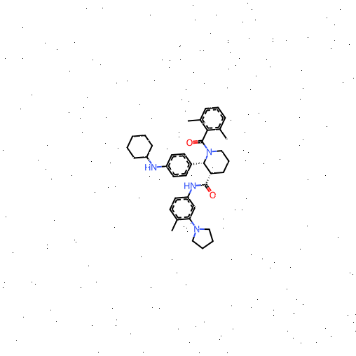 Cc1ccc(NC(=O)[C@H]2CCCN(C(=O)c3c(C)cccc3C)[C@H]2c2ccc(NC3CCCCC3)cc2)cc1N1CCCC1